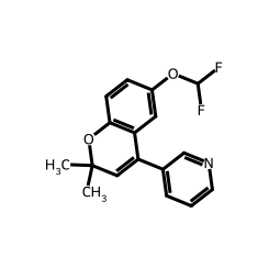 CC1(C)C=C(c2cccnc2)c2cc(OC(F)F)ccc2O1